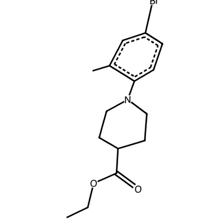 CCOC(=O)C1CCN(c2ccc(Br)cc2C)CC1